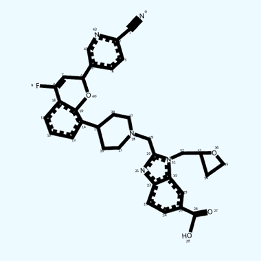 N#Cc1ccc(C2C=C(F)c3cccc(C4CCN(Cc5nc6ccc(C(=O)O)cc6n5CC5CCO5)CC4)c3O2)cn1